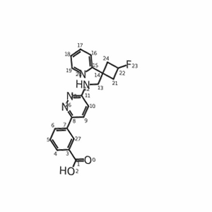 O=C(O)c1cccc(-c2ccc(NCC3(c4ccccn4)CC(F)C3)nn2)c1